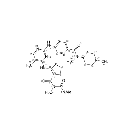 CNC(=O)N(C)C(=O)[C@H]1CCC[C@H]1Nc1nc(Nc2ccc(C(=O)N(C)C3CCN(C)CC3)cc2)ncc1C(F)(F)F